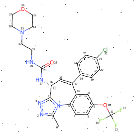 Cc1nnc2n1-c1ccc(OC(F)(F)F)cc1C(c1ccc(Cl)cc1)=C[C@H]2NC(=O)NCCN1CCOCC1